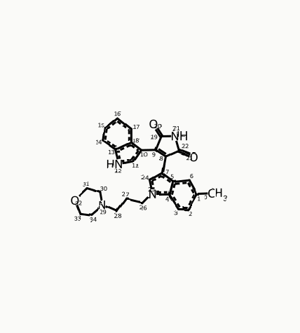 Cc1ccc2c(c1)c(C1=C(c3c[nH]c4ccccc34)C(=O)NC1=O)cn2CCCN1CCOCC1